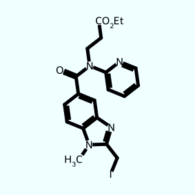 CCOC(=O)CCN(C(=O)c1ccc2c(c1)nc(CI)n2C)c1ccccn1